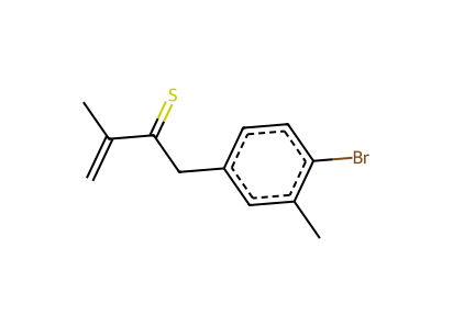 C=C(C)C(=S)Cc1ccc(Br)c(C)c1